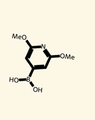 COc1cc(B(O)O)cc(OC)n1